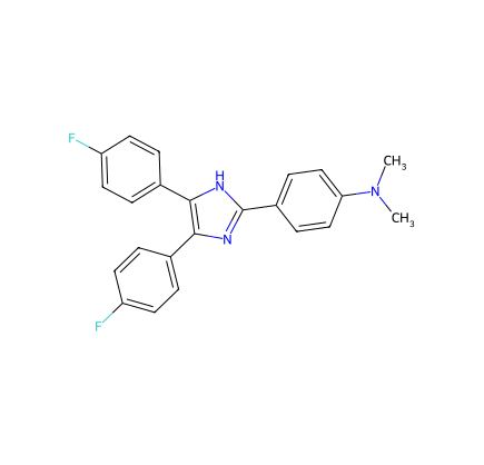 CN(C)c1ccc(-c2nc(-c3ccc(F)cc3)c(-c3ccc(F)cc3)[nH]2)cc1